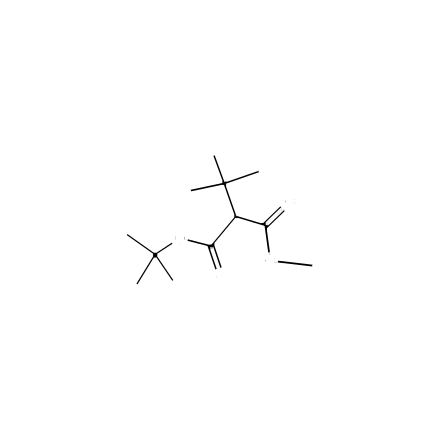 COC(=O)C(C(=O)OC(C)(C)C)C(C)(C)C